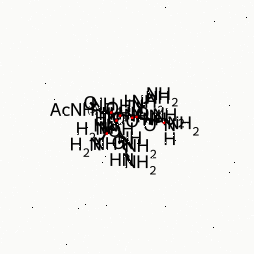 CC(=O)N[C@@H](CCCCNC(=O)C(CCCCNC(=O)C(CCCNC(=O)C(CCCCNN)NN)NC(=O)C(CCCCNN)NN)NC(=O)C(CCCCNC(=O)C(CCCCNN)NN)NC(=O)C(CCCCNN)NN)C(N)=O